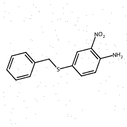 Nc1ccc(SCc2ccccc2)cc1[N+](=O)[O-]